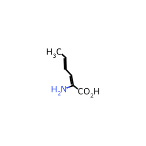 CC=CC=C(N)C(=O)O